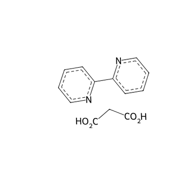 O=C(O)CC(=O)O.c1ccc(-c2ccccn2)nc1